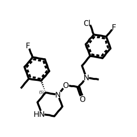 Cc1cc(F)ccc1[C@H]1CNCCN1OC(=O)N(C)Cc1ccc(F)c(Cl)c1